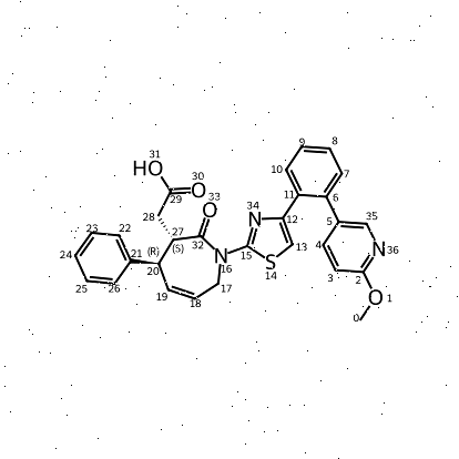 COc1ccc(-c2ccccc2-c2csc(N3CC=C[C@@H](c4ccccc4)[C@H](CC(=O)O)C3=O)n2)cn1